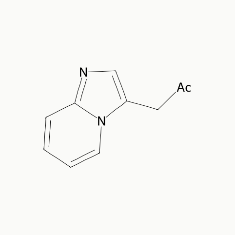 CC(=O)Cc1cnc2ccccn12